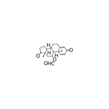 C[C@]12C=CC(=O)C=C1CC[C@@H]1[C@@H]2[C@@H](OC=O)C[C@]2(C)C(=O)CC[C@@H]12